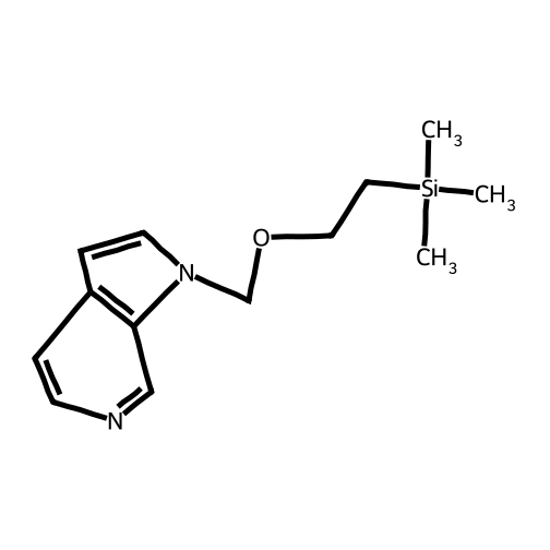 C[Si](C)(C)CCOCn1ccc2ccncc21